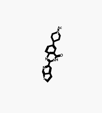 CC(=O)N1CCC(c2ccc3nc(-c4cc5ccsc5cn4)[nH]c(=O)c3c2)CC1